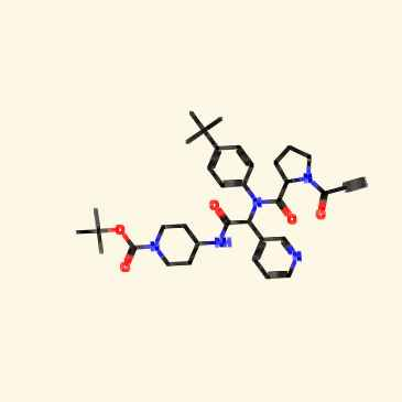 C#CC(=O)N1CCCC1C(=O)N(c1ccc(C(C)(C)C)cc1)C(C(=O)NC1CCN(C(=O)OC(C)(C)C)CC1)c1cccnc1